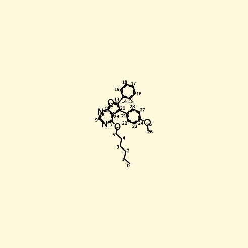 CCCCCCOc1ncnc2oc(-c3ccccc3)c(-c3ccc(OC)cc3)c12